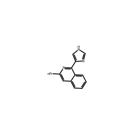 CCCc1cc2ccccc2c(-c2c[nH]cn2)n1